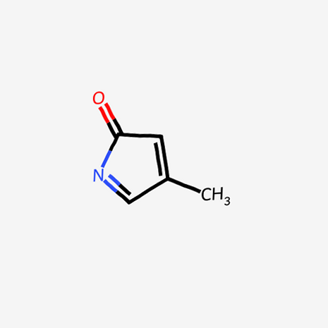 CC1=CC(=O)N=C1